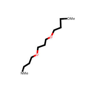 CNCCCOCCCOCCCOC